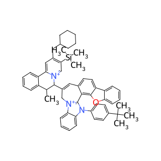 CC1c2ccccc2-c2cc(CC3CCCCC3)c([Si](C)(C)C)c[n+]2C1C1=Cc2ccc3c(oc4ccccc43)c2-c2n(-c3ccc(C(C)(C)C)cc3)c3ccccc3[n+]2C1